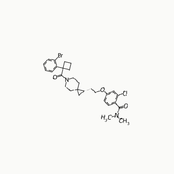 CN(C)C(=O)c1ccc(OCC[C@@H]2CC23CCN(C(=O)C2(c4ccccc4Br)CCC2)CC3)cc1Cl